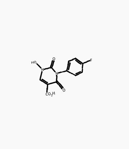 O=C(O)c1cn(O)c(=O)n(-c2ccc(F)cc2)c1=O